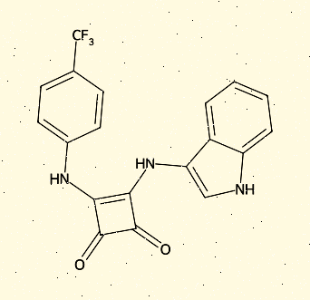 O=c1c(Nc2ccc(C(F)(F)F)cc2)c(Nc2c[nH]c3ccccc23)c1=O